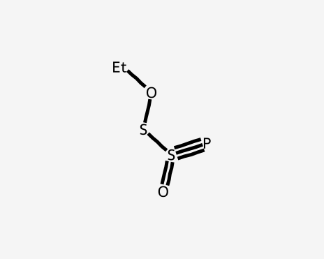 CCOSS(=O)#P